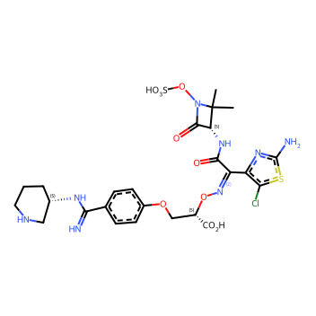 CC1(C)[C@H](NC(=O)/C(=N\O[C@@H](COc2ccc(C(=N)N[C@H]3CCCNC3)cc2)C(=O)O)c2nc(N)sc2Cl)C(=O)N1OS(=O)(=O)O